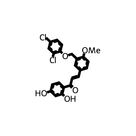 COc1ccc(C=CC(=O)c2ccc(O)cc2O)cc1COc1ccc(Cl)cc1Cl